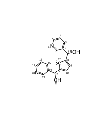 OC(c1cccnc1)c1ccc(C(O)c2cccnc2)[se]1